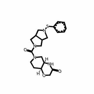 O=C1CO[C@H]2CCN(C(=O)N3CC4CN(Sc5ccccc5)CC4C3)C[C@H]2N1